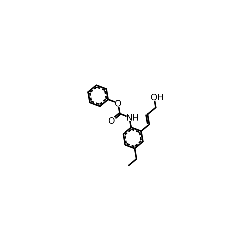 CCc1ccc(NC(=O)Oc2ccccc2)c(/C=C/CO)c1